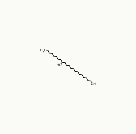 CCCCCCCCC(O)CCCCCCCCCCCCCO